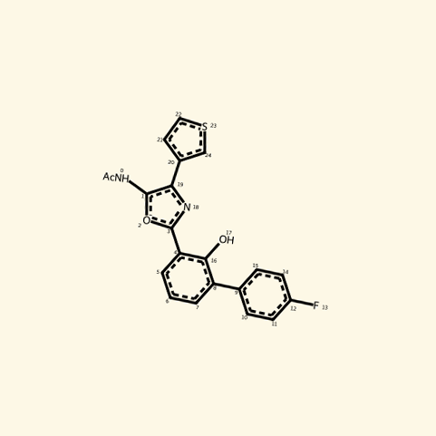 CC(=O)Nc1oc(-c2cccc(-c3ccc(F)cc3)c2O)nc1-c1ccsc1